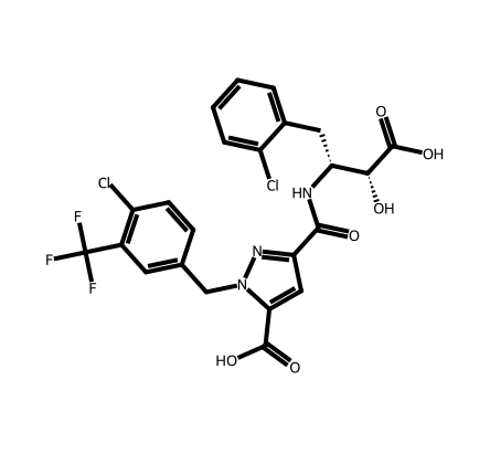 O=C(N[C@H](Cc1ccccc1Cl)[C@@H](O)C(=O)O)c1cc(C(=O)O)n(Cc2ccc(Cl)c(C(F)(F)F)c2)n1